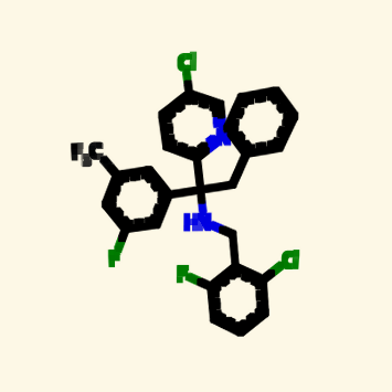 Fc1cc(C(F)(F)F)cc(C(Cc2ccccc2)(NCc2c(F)cccc2Cl)c2ccc(Cl)cn2)c1